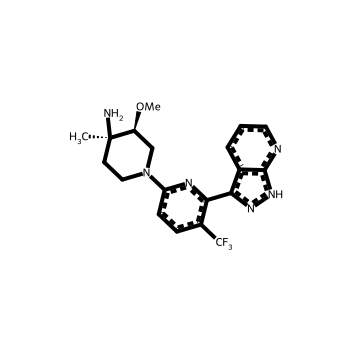 CO[C@H]1CN(c2ccc(C(F)(F)F)c(-c3n[nH]c4ncccc34)n2)CC[C@@]1(C)N